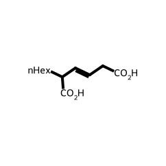 CCCCCCC(C=CCC(=O)O)C(=O)O